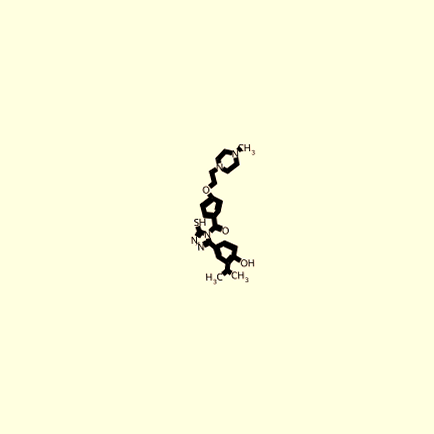 CC(C)c1cc(-c2nnc(S)n2C(=O)c2ccc(OCCN3CCN(C)CC3)cc2)ccc1O